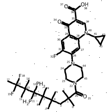 CC(C)(CC(C)(C)C(C)(C)C(P)(P)C(C)(C)C(C)(F)F)C(=O)N1CCN(c2cc3c(cc2F)c(=O)c(C(=O)O)cn3C2CC2)CC1